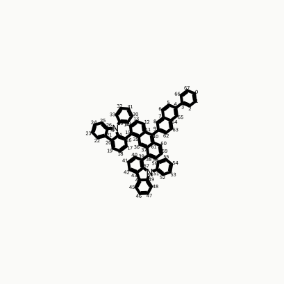 c1ccc(-c2ccc3cc(-c4c5cccc(-c6cccc7c8ccccc8n(-c8ccccc8)c67)c5cc5c(-c6cccc7c8ccccc8n(-c8ccccc8)c67)cccc45)ccc3c2)cc1